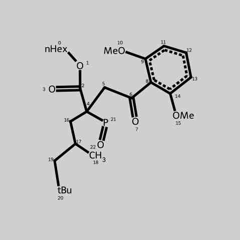 CCCCCCOC(=O)C(CC(=O)c1c(OC)cccc1OC)(CC(C)CC(C)(C)C)P=O